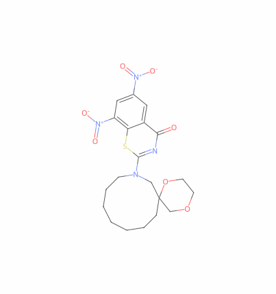 O=c1nc(N2CCCCCCCC3(COCCO3)C2)sc2c([N+](=O)[O-])cc([N+](=O)[O-])cc12